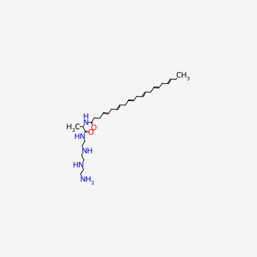 CCC=CCC=CCC=CCC=CCC=CCC=CCCC(=O)NC(C)C(=O)NCCNCCNCCN